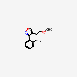 Cc1ccccc1-c1nocc1CCOC=O